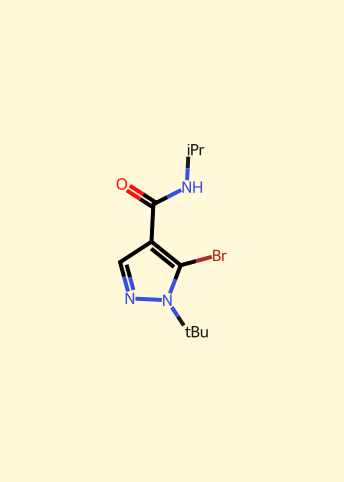 CC(C)NC(=O)c1cnn(C(C)(C)C)c1Br